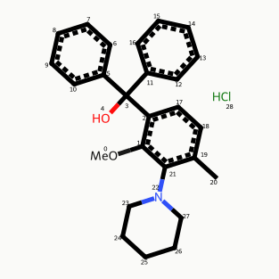 COc1c(C(O)(c2ccccc2)c2ccccc2)ccc(C)c1N1CCCCC1.Cl